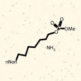 CCCCCCCCCCCCCCCCOS(=O)(=O)OC.N